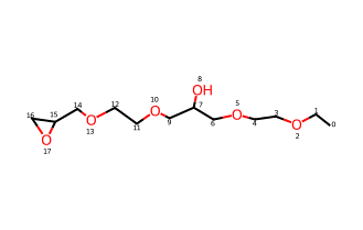 CCOCCOCC(O)COCCOCC1CO1